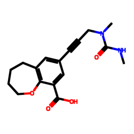 CNC(=O)N(C)CC#Cc1cc2c(c(C(=O)O)c1)OCCCC2